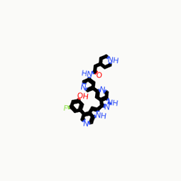 O=C(CC1CCNCC1)Nc1cncc(-c2cc3c(-c4cc5c(-c6cc(O)cc(F)c6)cncc5[nH]4)n[nH]c3cn2)c1